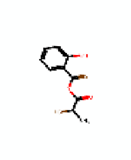 CC(S)C(=O)OC(=S)c1ccccc1O